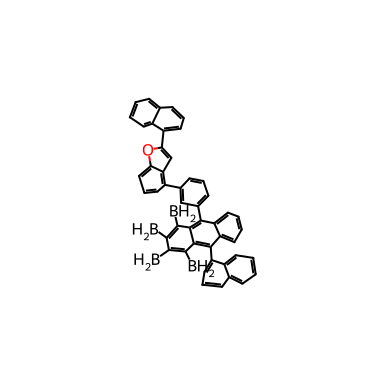 Bc1c(B)c(B)c2c(-c3cccc4ccccc34)c3ccccc3c(-c3cccc(-c4cccc5oc(-c6cccc7ccccc67)cc45)c3)c2c1B